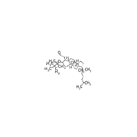 CC(C)CCC[C@@H](C)[C@H]1CC[C@H]2[C@@H]3CC[C@H]4[C@H](CC=O)[C@H](O[Si](C)(C)C(C)(C)C)CC[C@]4(C)[C@H]3CC[C@]12C